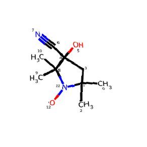 CC1(C)CC(O)(C#N)C(C)(C)N1[O]